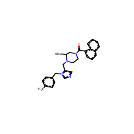 CCCCC1CN(C(=O)c2cccc3ccccc23)CCN1Cc1cncn1Cc1ccc(C)cc1